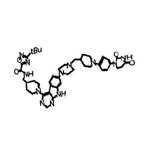 CC(C)(C)c1noc(C(=O)NCC2CCN(c3ncnc4[nH]c5cc(N6CCN(CC7CCN(c8ccc(N9CCC(=O)NC9=O)cc8)CC7)CC6)ccc5c34)CC2)n1